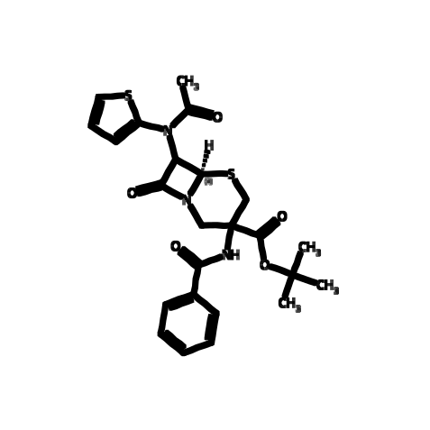 CC(=O)N(c1cccs1)C1C(=O)N2CC(NC(=O)c3ccccc3)(C(=O)OC(C)(C)C)CS[C@H]12